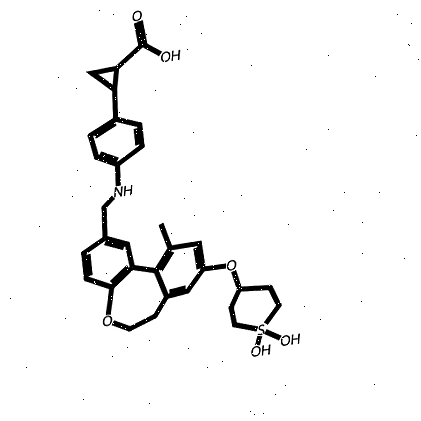 Cc1cc(OC2CCS(O)(O)CC2)cc2c1-c1cc(CNc3ccc(C4CC4C(=O)O)cc3)ccc1OCC2